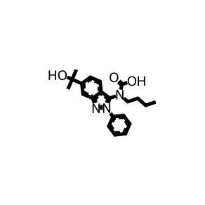 CCCCN(C(=O)O)c1c2ccc(C(C)(C)O)cc2nn1-c1ccccc1